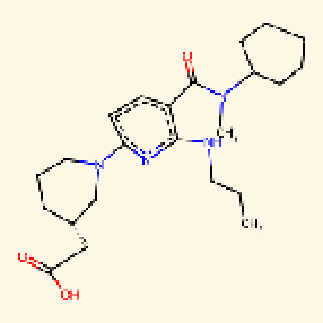 CCCNc1nc(N2CCC[C@@H](CC(=O)O)C2)ccc1C(=O)N(C)C1CCCCC1